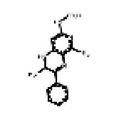 CC1Nc2cc(NC(=O)O)nc(N)c2N=C1c1ccccc1